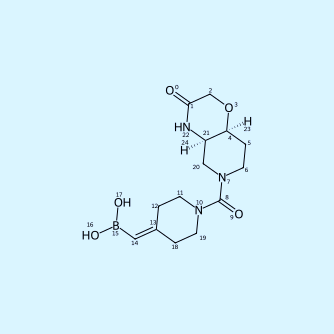 O=C1CO[C@H]2CCN(C(=O)N3CCC(=CB(O)O)CC3)C[C@H]2N1